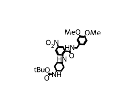 COc1ccc(CNC(=O)c2cc([N+](=O)[O-])ccc2NC2CCC(NC(=O)OC(C)(C)C)CC2)cc1OC